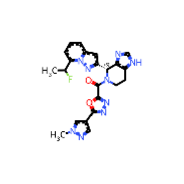 CC(F)c1cccc2cc([C@@H]3c4nc[nH]c4CCN3C(=O)c3nnc(-c4cnn(C)c4)o3)nn12